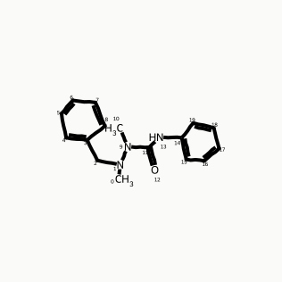 CN(Cc1ccccc1)N(C)C(=O)Nc1ccccc1